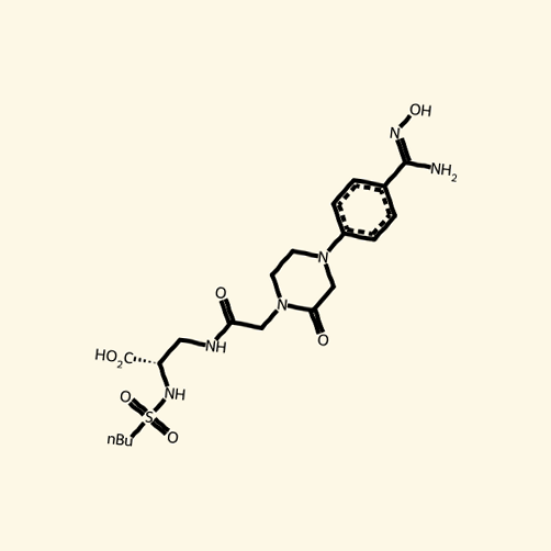 CCCCS(=O)(=O)N[C@@H](CNC(=O)CN1CCN(c2ccc(C(N)=NO)cc2)CC1=O)C(=O)O